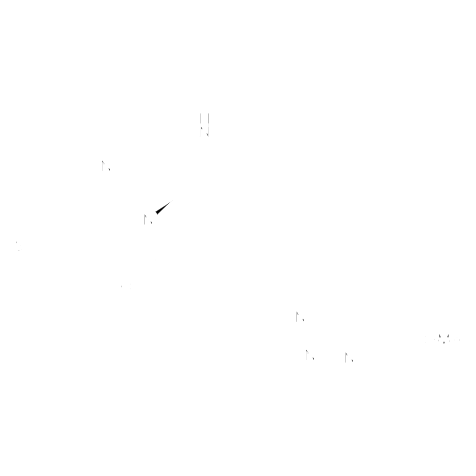 COCc1cn(-c2ccc(C(=O)N(c3nccc4scc(C)c34)[C@@H]3CCCNC3)cc2)nn1